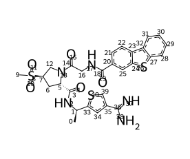 C[C@@H](NC(=O)[C@@H]1C[C@@H](S(C)(=O)=O)CN1C(=O)CNC(=O)c1ccc2c(c1)sc1ccccc12)c1cc(C(=N)N)cs1